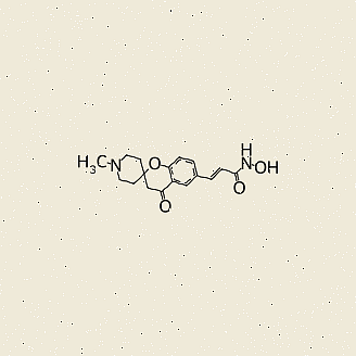 CN1CCC2(CC1)CC(=O)c1cc(/C=C/C(=O)NO)ccc1O2